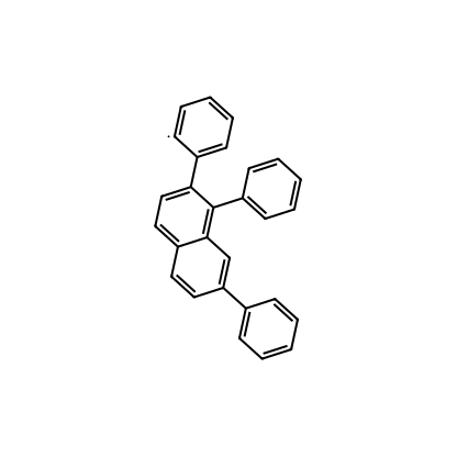 [c]1ccccc1-c1ccc2ccc(-c3ccccc3)cc2c1-c1ccccc1